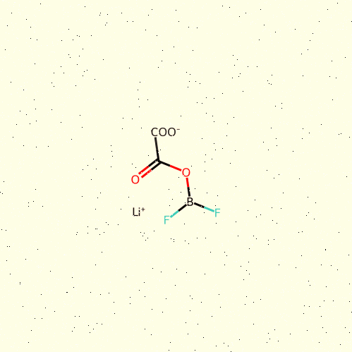 O=C([O-])C(=O)OB(F)F.[Li+]